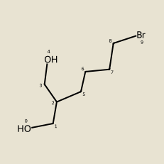 OCC(CO)CCCCBr